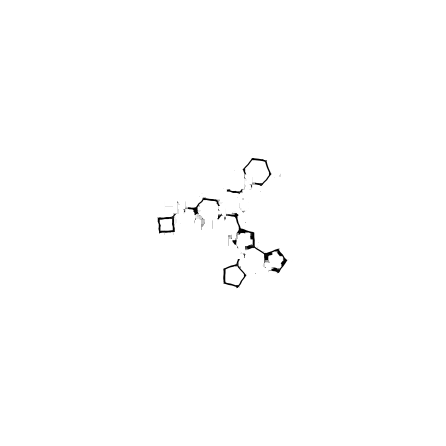 CCN(C(=O)c1cc(-c2cccs2)n(C2CCCC2)n1)[C@@H](CCN1CCCCC1)CC(=O)NC1CCC1